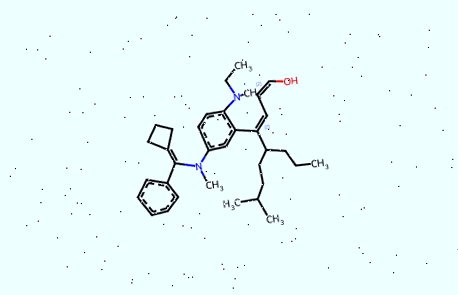 CCCC(CCC(C)C)/C(=C/C=C\O)c1cc(N(C)C(=C2CCC2)c2ccccc2)ccc1N(C)CC